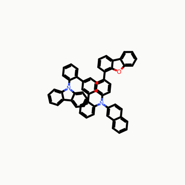 c1cc(-c2ccccc2N(c2ccc(-c3cccc4c3oc3ccccc34)cc2)c2ccc3ccccc3c2)cc(-c2ccccc2-n2c3ccccc3c3ccccc32)c1